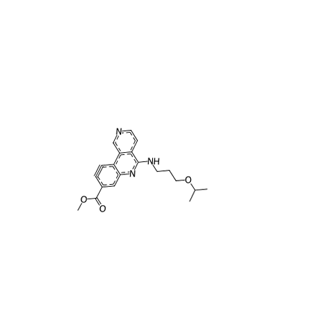 COC(=O)c1c#cc2c(c1)nc(NCCCOC(C)C)c1ccncc12